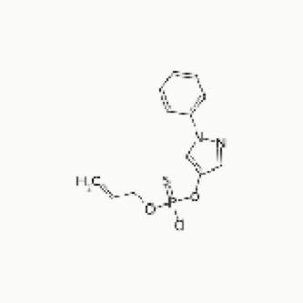 C=CCOP(=S)(Cl)Oc1cnn(-c2ccccc2)c1